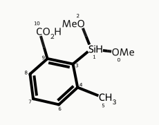 CO[SiH](OC)c1c(C)cccc1C(=O)O